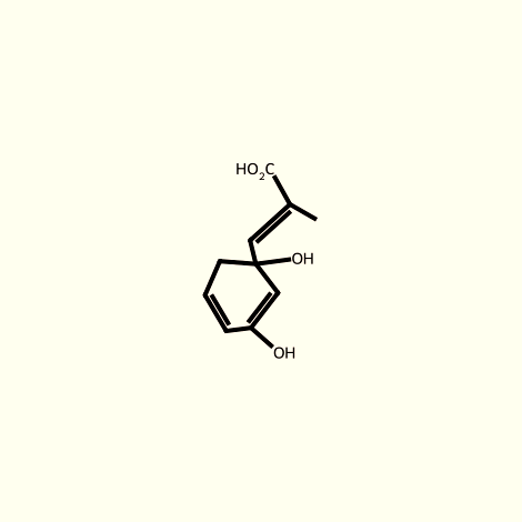 CC(=CC1(O)C=C(O)C=CC1)C(=O)O